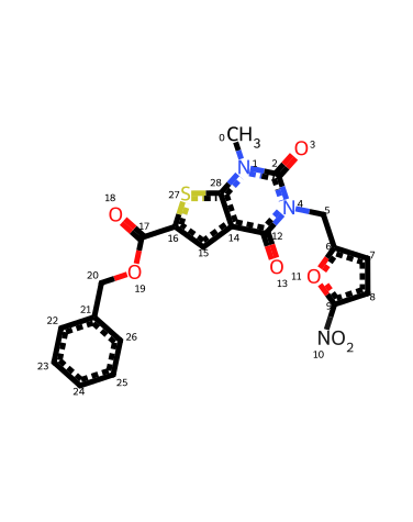 Cn1c(=O)n(Cc2ccc([N+](=O)[O-])o2)c(=O)c2cc(C(=O)OCc3ccccc3)sc21